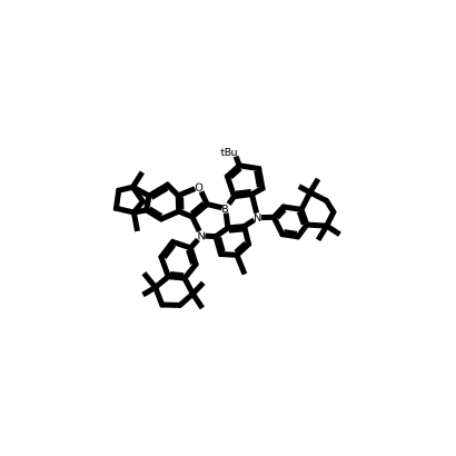 Cc1cc2c3c(c1)N(c1ccc4c(c1)C(C)(C)CCC4(C)C)c1c(oc4cc5c(cc14)C1(C)CCC5(C)C1)B3c1cc(C(C)(C)C)ccc1N2c1ccc2c(c1)C(C)(C)CCC2(C)C